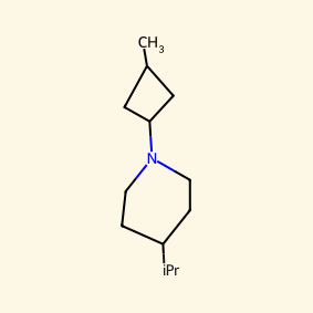 CC1CC(N2CCC(C(C)C)CC2)C1